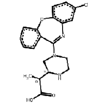 C[C@H](C(=O)O)[C@H]1CN(C2=Nc3cc(Cl)ccc3Oc3ccccc32)CCN1